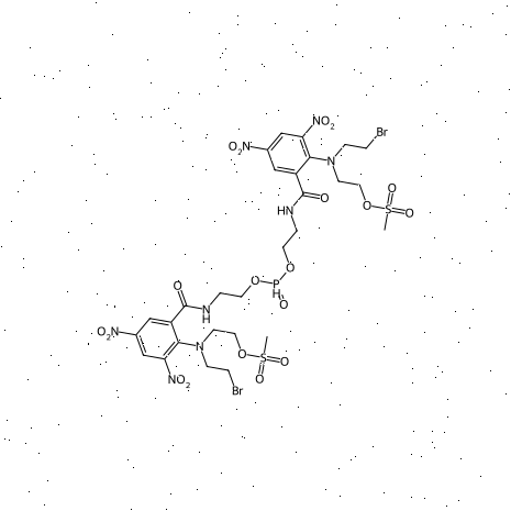 CS(=O)(=O)OCCN(CCBr)c1c(C(=O)NCCO[PH](=O)OCCNC(=O)c2cc([N+](=O)[O-])cc([N+](=O)[O-])c2N(CCBr)CCOS(C)(=O)=O)cc([N+](=O)[O-])cc1[N+](=O)[O-]